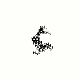 CNC(=O)c1sc(C(C)(C)C)cc1NC(=O)Nc1ccc(OCCN2C[C@H](C)O[C@@H](C)C2)c2ccccc12